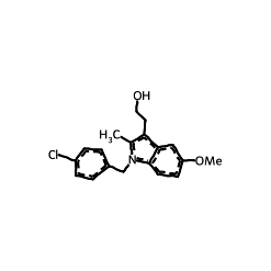 COc1ccc2c(c1)c(CCO)c(C)n2Cc1ccc(Cl)cc1